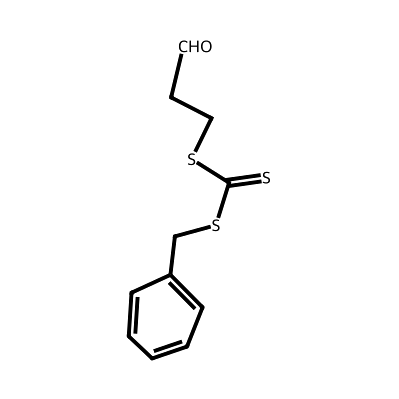 O=CCCSC(=S)SCc1ccccc1